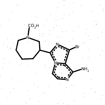 Nc1nccn2c(C3CCCCN(C(=O)O)C3)nc(Br)c12